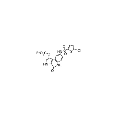 CCOC(=O)Oc1c[nH]c2c(=O)[nH]c3ccc(NS(=O)(=O)c4ccc(Cl)s4)cc3c12